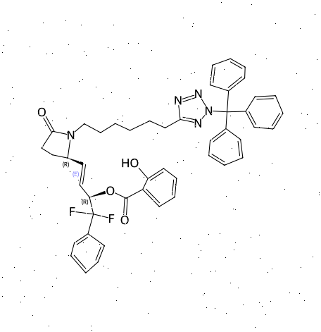 O=C(O[C@H](/C=C/[C@H]1CCC(=O)N1CCCCCCc1nnn(C(c2ccccc2)(c2ccccc2)c2ccccc2)n1)C(F)(F)c1ccccc1)c1ccccc1O